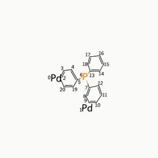 [Pd].[Pd].c1ccc(P(c2ccccc2)c2ccccc2)cc1